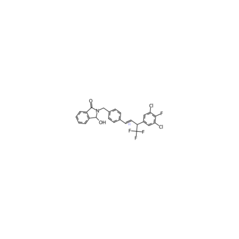 O=C1c2ccccc2C(O)N1Cc1ccc(/C=C/C(c2cc(Cl)c(F)c(Cl)c2)C(F)(F)F)cc1